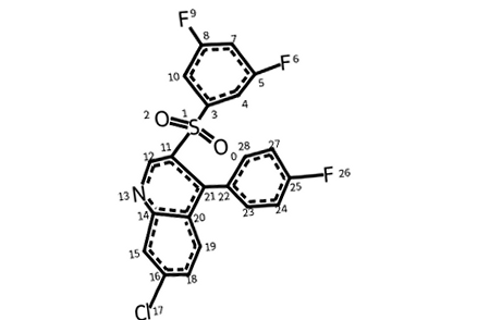 O=S(=O)(c1cc(F)cc(F)c1)c1cnc2cc(Cl)ccc2c1-c1ccc(F)cc1